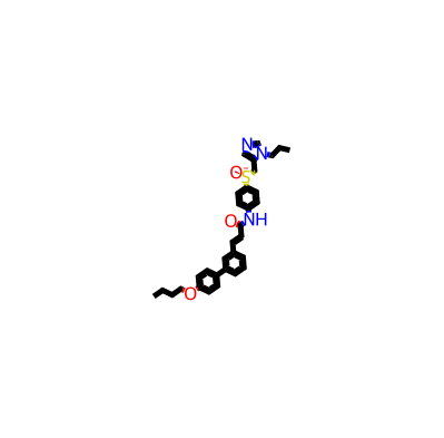 CCCCOc1ccc(-c2cccc(/C=C/C(=O)Nc3ccc([S@+]([O-])Cc4cncn4CCC)cc3)c2)cc1